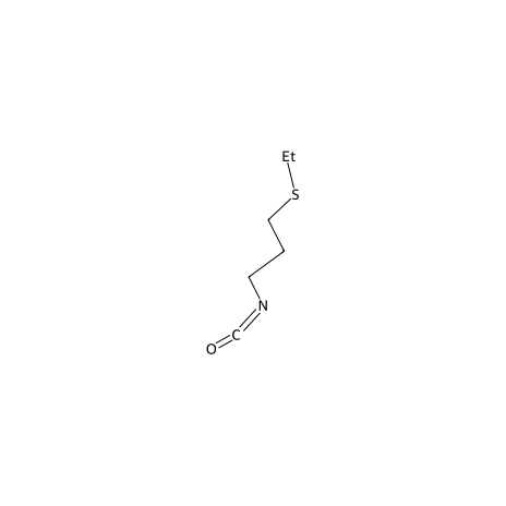 CCSCCCN=C=O